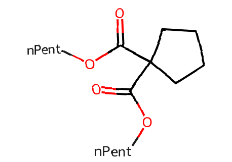 CCCCCOC(=O)C1(C(=O)OCCCCC)CCCC1